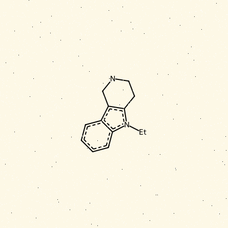 CCn1c2c(c3ccccc31)C[N]CC2